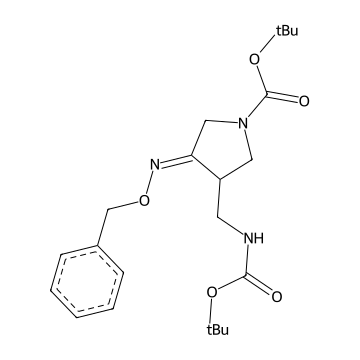 CC(C)(C)OC(=O)NCC1CN(C(=O)OC(C)(C)C)CC1=NOCc1ccccc1